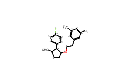 O=CC1CCC(OCCc2cc(C(F)(F)F)cc(C(F)(F)F)c2)C1c1ccc(F)cc1